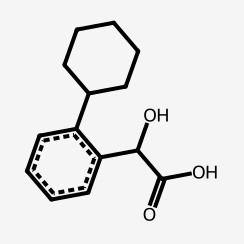 O=C(O)C(O)c1ccccc1C1CCCCC1